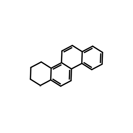 [C]1CCCc2c1ccc1c2ccc2ccccc21